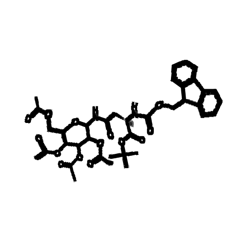 CC(=O)OCC1OC(NC(=O)C[C@H](NC(=O)OCC2c3ccccc3-c3ccccc32)C(=O)OC(C)(C)C)C(OC(C)=O)C(OC(C)=O)C1OC(C)=O